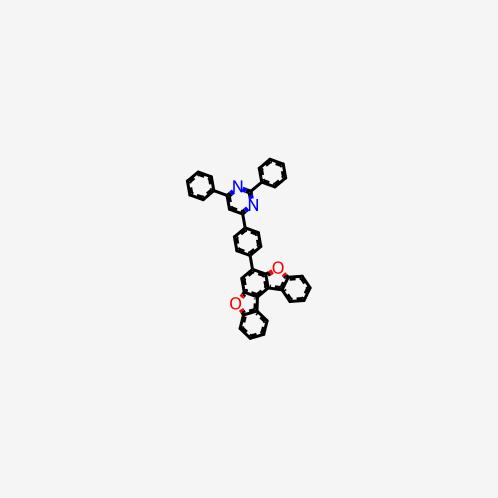 c1ccc(-c2cc(-c3ccc(-c4cc5oc6ccccc6c5c5c4oc4ccccc45)cc3)nc(-c3ccccc3)n2)cc1